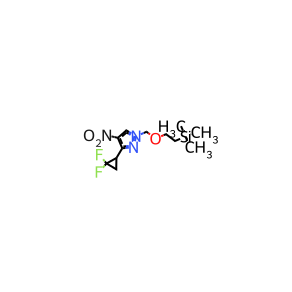 C[Si](C)(C)CCOCn1cc([N+](=O)[O-])c(C2CC2(F)F)n1